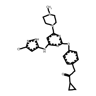 CN1CCN(c2cc(Nc3cc(Cl)n[nH]3)nc(Oc3ccc(CC(=O)C4CC4)cc3)n2)CC1